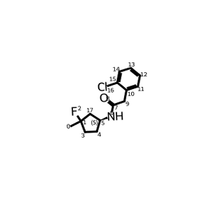 CC1(F)CC[C@H](NC(=O)Cc2ccccc2Cl)C1